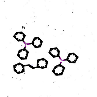 C(=C\c1ccccc1)/c1ccccc1.[Pt].c1ccc(P(c2ccccc2)c2ccccc2)cc1.c1ccc(P(c2ccccc2)c2ccccc2)cc1